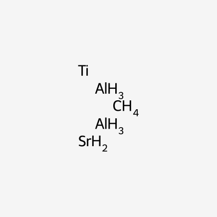 C.[AlH3].[AlH3].[SrH2].[Ti]